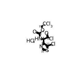 Cl.O=C(NC(C(=O)Cl)c1ncsc1Cl)OCC(Cl)(Cl)Cl